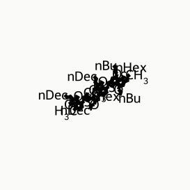 CCCCCCCCCCCCOc1cc(-c2ccc(-c3cc4cc(OCC(CCCC)CCCCCC)c5c6sc(C)cc6cc(OCC(CCCC)CCCCCC)c5c4s3)c3c2C(=O)N(CCCCCCCCCCCC)C3=O)sc1-c1sc(-c2ccc(C)c3c2C(=O)N(CCCCCCCCCCCC)C3=O)cc1C